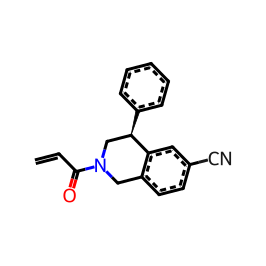 C=CC(=O)N1Cc2ccc(C#N)cc2[C@H](c2ccccc2)C1